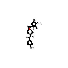 CN1C(=N)N[C@@](C[C@H]2CCC[C@@H](NC(=O)c3ccc(O)nc3)C2)(C2CC2)C1=O